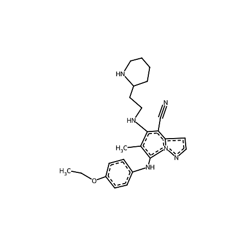 CCOc1ccc(Nc2c(C)c(NCCC3CCCCN3)c(C#N)c3ccnn23)cc1